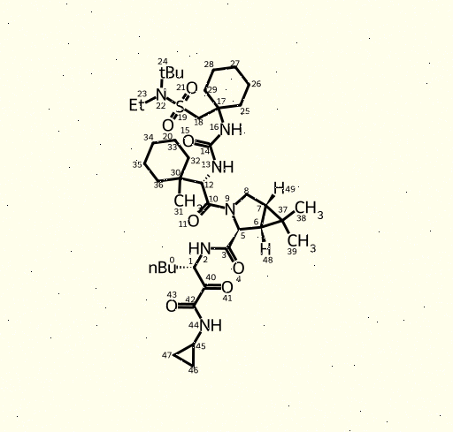 CCCC[C@H](NC(=O)[C@@H]1[C@@H]2[C@H](CN1C(=O)[C@@H](NC(=O)NC1(CS(=O)(=O)N(CC)C(C)(C)C)CCCCC1)C1(C)CCCCC1)C2(C)C)C(=O)C(=O)NC1CC1